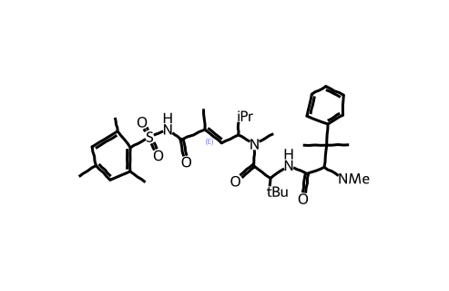 CNC(C(=O)NC(C(=O)N(C)C(/C=C(\C)C(=O)NS(=O)(=O)c1c(C)cc(C)cc1C)C(C)C)C(C)(C)C)C(C)(C)c1ccccc1